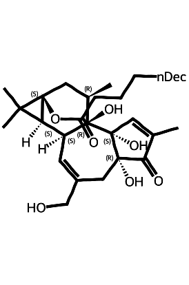 CCCCCCCCCCCCCC(=O)O[C@@]12C[C@@H](C)[C@@]3(O)[C@@H](C=C(CO)C[C@]4(O)C(=O)C(C)=C[C@]34O)[C@H]1C2(C)C